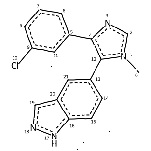 Cn1cnc(-c2cccc(Cl)c2)c1-c1ccc2[nH]ncc2c1